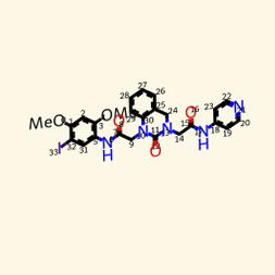 COc1cc(OC)c(NC(=O)CN2C(=O)N(CC(=O)Nc3ccncc3)Cc3ccccc32)cc1I